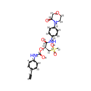 C#Cc1ccc(NC(=O)O[C@H](CS(C)(=O)=O)C(=O)Nc2ccc(N3CCOCC3=O)cc2)cc1